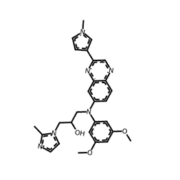 COc1cc(OC)cc(N(CC(O)Cn2ccnc2C)c2ccc3ncc(-c4ccn(C)c4)nc3c2)c1